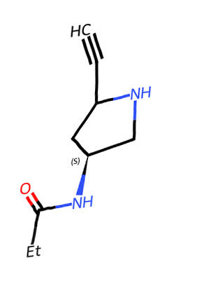 C#CC1C[C@H](NC(=O)CC)CN1